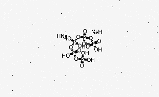 O=P(O)(O)OP(=O)(O)OP(=O)(O)OP(=O)(O)OP(=O)(O)O.[NaH].[NaH]